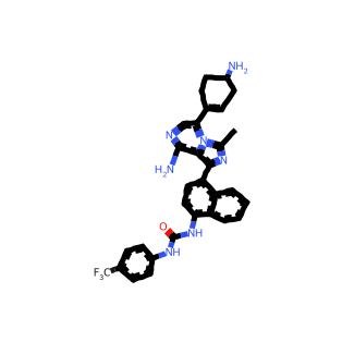 Cc1nc(-c2ccc(NC(=O)Nc3ccc(C(F)(F)F)cc3)c3ccccc23)c2c(N)ncc(C3=CCC(N)CC3)n12